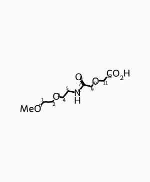 COCCOCCNC(=O)COCC(=O)O